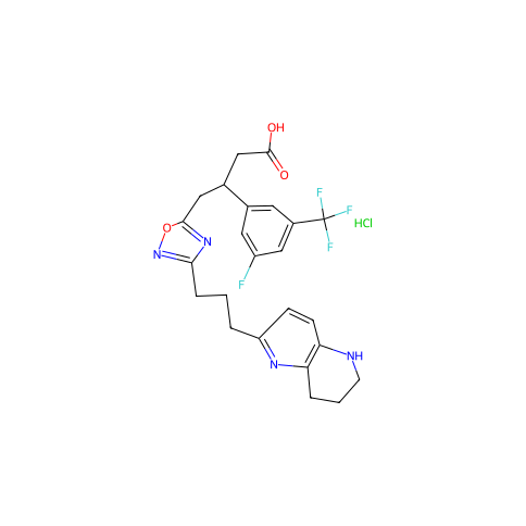 Cl.O=C(O)CC(Cc1nc(CCCc2ccc3c(n2)CCCN3)no1)c1cc(F)cc(C(F)(F)F)c1